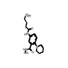 CCCCCCCCCCCCCC(=O)Nc1ccc(N2CCCCC2)c(C(=O)NCCC)c1